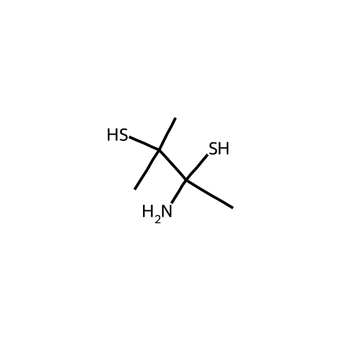 CC(C)(S)C(C)(N)S